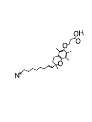 Cc1c(C)c2c(c(C)c1OCCC(=O)O)CCC(C)(C=CCCCCCCC#N)O2